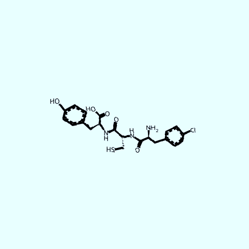 N[C@@H](Cc1ccc(Cl)cc1)C(=O)N[C@H](CS)C(=O)N[C@@H](Cc1ccc(O)cc1)C(=O)O